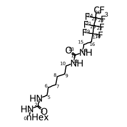 CCCCCCNC(=O)NCCCCCCNC(=O)NCCC(F)(F)C(F)(F)C(F)(F)C(F)(F)F